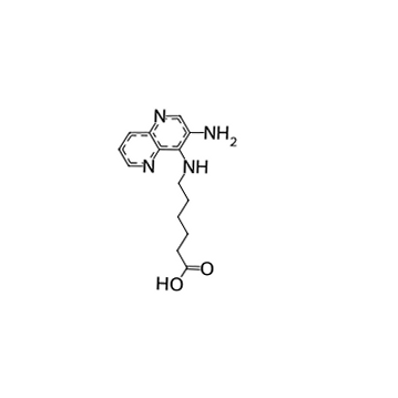 Nc1cnc2cccnc2c1NCCCCCC(=O)O